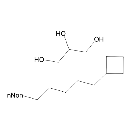 CCCCCCCCCCCCCCC1CCC1.OCC(O)CO